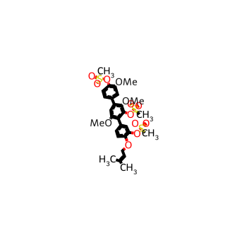 COc1cc(-c2cc(OC)c(-c3ccc(OCC=C(C)C)c(OS(C)(=O)=O)c3)c(OS(C)(=O)=O)c2OC)ccc1OS(C)(=O)=O